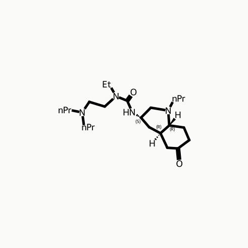 CCCN(CCC)CCN(CC)C(=O)N[C@H]1C[C@@H]2CC(=O)CC[C@H]2N(CCC)C1